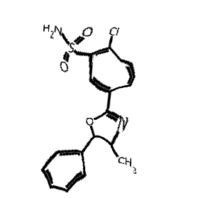 CC1N=C(c2ccc(Cl)c(S(N)(=O)=O)c2)OC1c1ccccc1